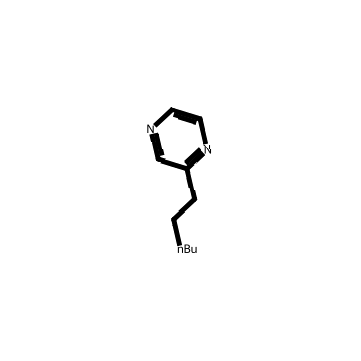 CCCCCCc1cnccn1